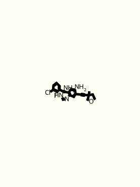 CC1(C#Cc2cc3c(cc2N)C(N)(c2cccc(Cl)c2F)NC=N3)CCOC1